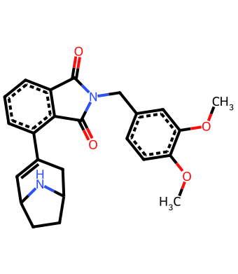 COc1ccc(CN2C(=O)c3cccc(C4=CC5CCC(C4)N5)c3C2=O)cc1OC